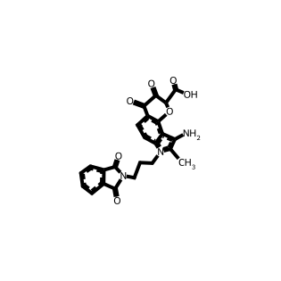 Cc1c(N)c2c3c(ccc2n1CCCN1C(=O)c2ccccc2C1=O)C(=O)C(=O)C(C(=O)O)O3